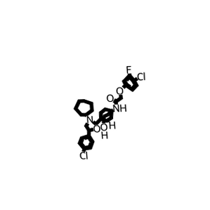 O=C(COc1ccc(Cl)c(F)c1)NC12CCC(C3OC(c4ccc(Cl)cc4)CN3C3CCCCCC3)(CC1)[C@H](O)C2